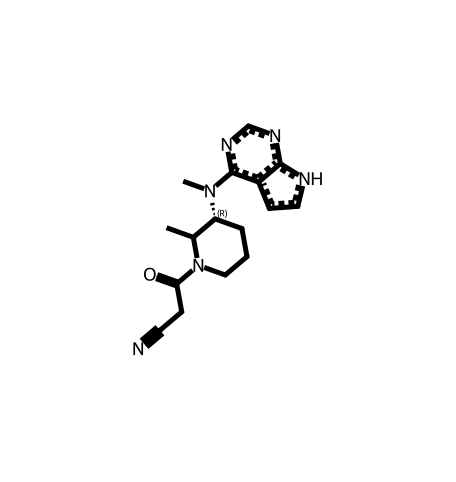 CC1[C@H](N(C)c2ncnc3[nH]ccc23)CCCN1C(=O)CC#N